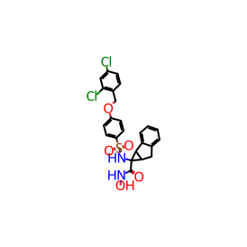 O=C(NO)C1(NS(=O)(=O)c2ccc(OCc3ccc(Cl)cc3Cl)cc2)C2Cc3ccccc3C21